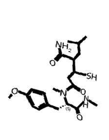 CNC(=O)[C@H](Cc1ccc(OC)cc1)N(C)C(=O)CC(S)C(CC(C)C)C(N)=O